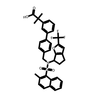 Cc1ccc2ccccc2c1S(=O)(=O)N(Cc1ccc(-c2cccc(C(C)(C)C(=O)O)c2)cc1)C1CCc2cc(C(F)(F)F)oc21